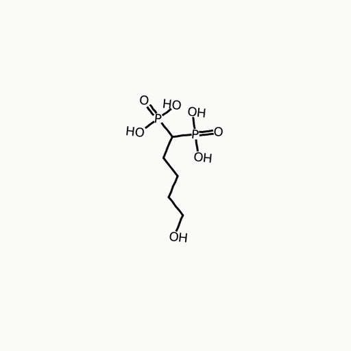 O=P(O)(O)C(CCCCO)P(=O)(O)O